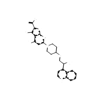 NC(=O)c1sc2nc(N3CCC(NCC(O)c4ccnc5ccccc45)CC3)cc(C(F)(F)F)c2c1N